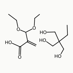 C=C(C(=O)O)C(OCC)OCC.CCC(CO)(CO)CO